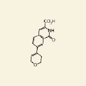 O=C(O)c1cc2ccc(C3=CCOCC3)cc2c(=O)[nH]1